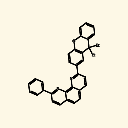 CCC1(CC)c2ccccc2Oc2ccc(-c3ccc4ccc5ccc(-c6ccccc6)nc5c4n3)cc21